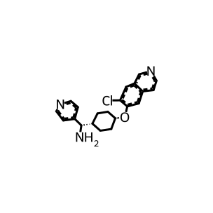 NC(c1ccncc1)[C@H]1CC[C@@H](Oc2cc3ccncc3cc2Cl)CC1